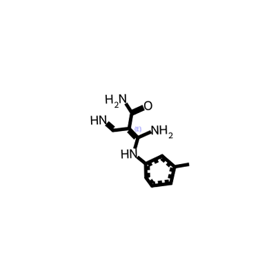 Cc1cccc(N/C(N)=C(\C=N)C(N)=O)c1